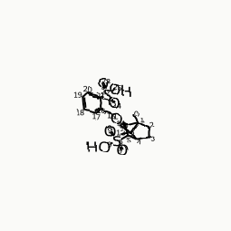 CC12CCC(C(S(=O)(=O)O)C1=O)C2(C)C.Cc1ccccc1S(=O)(=O)O